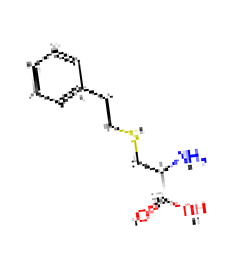 NC(CSCCc1ccccc1)C(=O)O